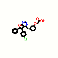 O=C(O)CO[C@@H]1CCC[C@H](Cc2ncnc3oc(-c4ccccc4)c(-c4ccc(Cl)cc4)c23)C1